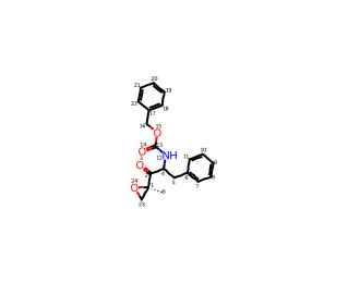 C[C@]1(C(=O)C(Cc2ccccc2)NC(=O)OCc2ccccc2)CO1